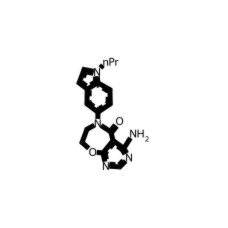 CCCn1ccc2cc(N3CCOc4ncnc(N)c4C3=O)ccc21